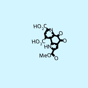 COC(=O)c1cc2c([nH]1)-c1c(C(=O)O)cc(C(=O)O)nc1C(=O)C2=O